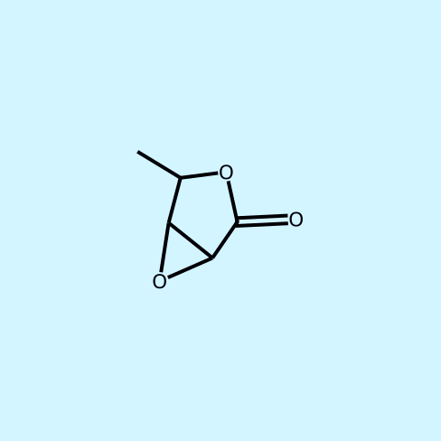 CC1OC(=O)C2OC12